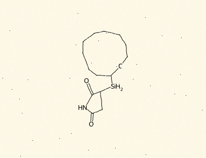 O=C1CC([SiH2]C2CCCCCCCCCC2)C(=O)N1